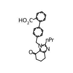 CCCc1nc2c(n1Cc1ccc(-c3ccccc3C(=O)O)cc1)C(=O)CCC2